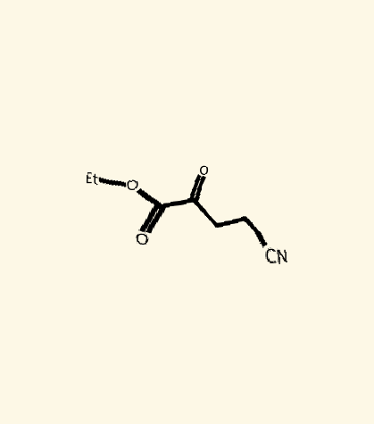 CCOC(=O)C(=O)CCC#N